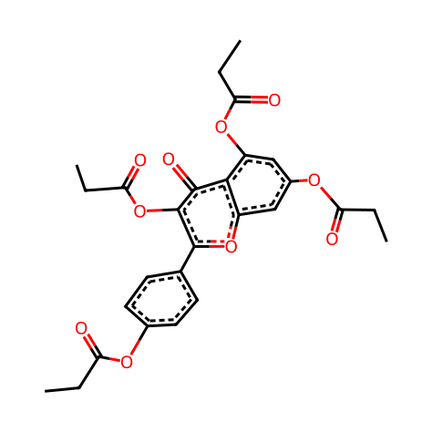 CCC(=O)Oc1ccc(-c2oc3cc(OC(=O)CC)cc(OC(=O)CC)c3c(=O)c2OC(=O)CC)cc1